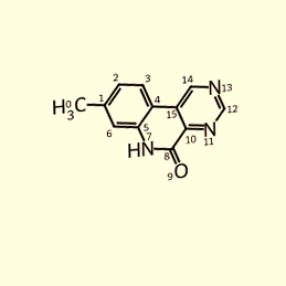 Cc1ccc2c(c1)[nH]c(=O)c1ncncc12